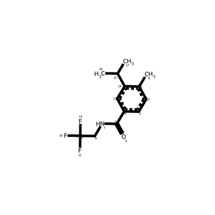 Cc1ccc(C(=O)NCC(F)(F)F)cc1C(C)C